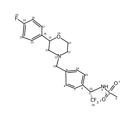 CS(=O)(=O)N[C@@H](c1ccc(CN2CCOC(c3ccc(F)cc3)C2)cc1)C(F)(F)F